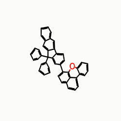 c1ccc(C2(c3ccccc3)c3cc(-c4ccc5cccc6c5c4Oc4ccccc4-6)ccc3-c3cc4ccccc4cc32)cc1